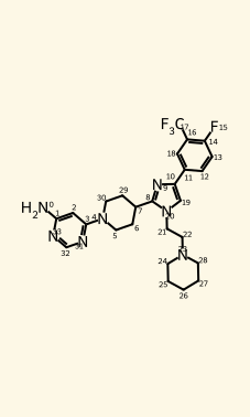 Nc1cc(N2CCC(c3nc(-c4ccc(F)c(C(F)(F)F)c4)cn3CCN3CCCCC3)CC2)ncn1